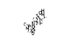 C[C@@H]1CNc2c(sc3ccc4nc(Oc5nc(Cl)nc6c5S(=O)(=O)CC6)cnc4c23)C(=O)N1